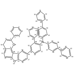 C1=C(c2ccccc2)Oc2c(ccc3oc4ccc(-c5ccc(N(c6ccc(-c7ccccc7)cc6)c6ccc(-c7ccccc7)cc6)c(-c6ccccc6)c5)cc4c23)C1